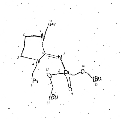 CC(C)N1CCN(C(C)C)C1=NP(=O)(OC(C)(C)C)OC(C)(C)C